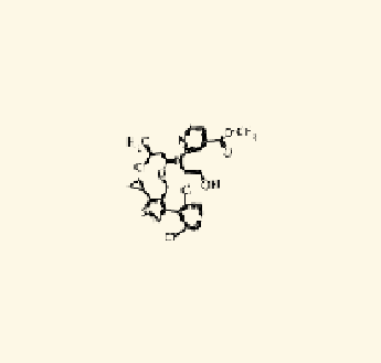 C=C(Cl)CC(OCc1c(-c2c(Cl)cccc2Cl)nsc1C1CC1)N(CCO)c1cc(C(=O)OC)ccn1